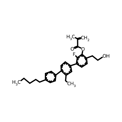 C=C(C)C(=O)Oc1c(CCO)ccc(-c2ccc(-c3ccc(CCCCC)cc3)c(CC)c2)c1F